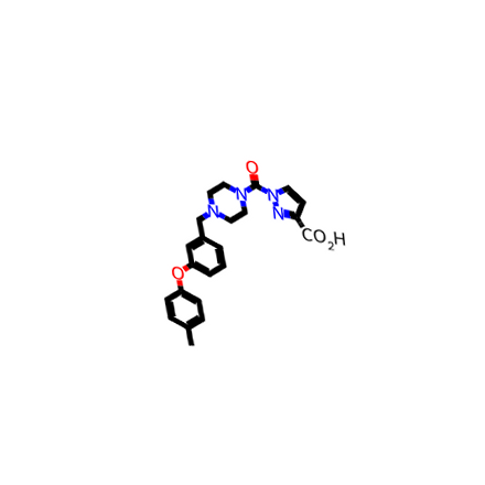 Cc1ccc(Oc2cccc(CN3CCN(C(=O)n4ccc(C(=O)O)n4)CC3)c2)cc1